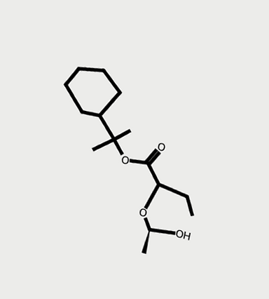 CCC(O[C@H](C)O)C(=O)OC(C)(C)C1CCCCC1